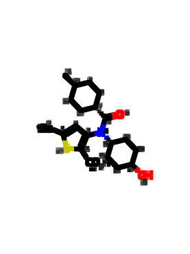 CC(C)(C)c1cc(N(C(=O)[C@H]2CC[C@H](C)CC2)[C@H]2CC[C@H](O)CC2)c(C(=O)O)s1